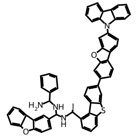 NC(NC(NC(I)c1cccc2sc3cc(-c4ccc5c(c4)oc4cc(-n6c7ccccc7c7ccccc76)ccc45)ccc3c12)c1ccc2oc3ccccc3c2c1)c1ccccc1